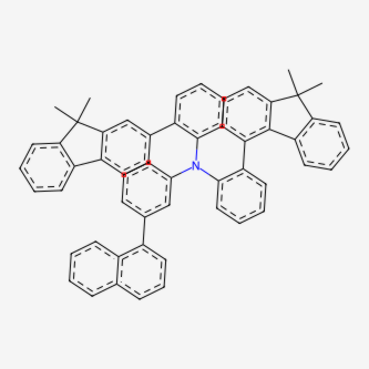 CC1(C)c2ccccc2-c2ccc(-c3ccccc3N(c3cccc(-c4cccc5ccccc45)c3)c3ccccc3-c3cccc4c3-c3ccccc3C4(C)C)cc21